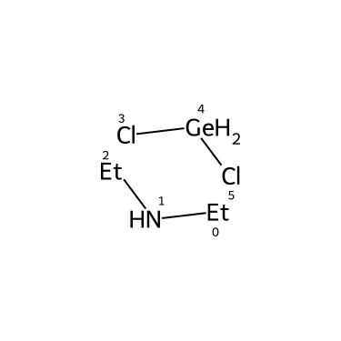 CCNCC.[Cl][GeH2][Cl]